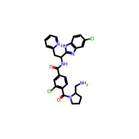 NCC1CCCN1C(=O)c1ccc(C(=O)NC(Cc2ccccn2)c2nc3cc(Cl)ccc3[nH]2)cc1Cl